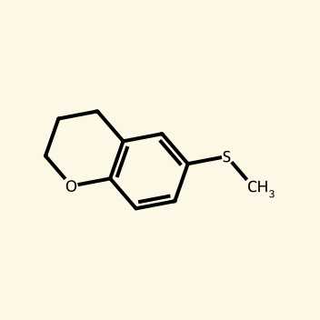 CSc1ccc2c(c1)CCCO2